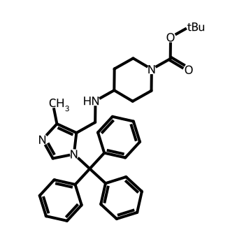 Cc1ncn(C(c2ccccc2)(c2ccccc2)c2ccccc2)c1CNC1CCN(C(=O)OC(C)(C)C)CC1